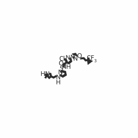 CC1(C)CC(CCNc2cccc(SNC(=O)c3ccc(-n4ccc(OCCCC5(C(F)(F)F)CC5)n4)nc3Cl)n2)CN1